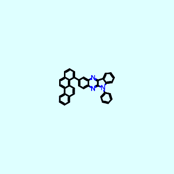 c1ccc(-n2c3ccccc3c3nc4cc(-c5cccc6ccc7c8ccccc8ccc7c56)ccc4nc32)cc1